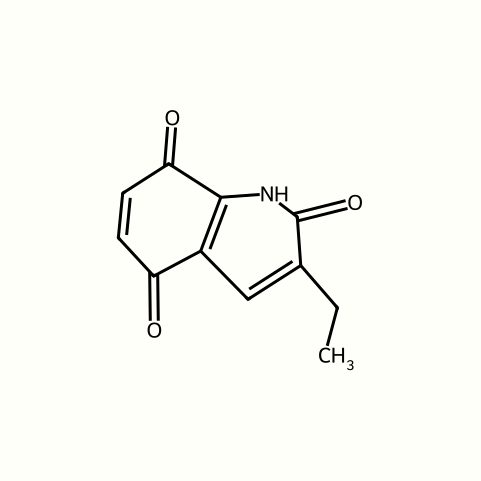 CCc1cc2c([nH]c1=O)C(=O)C=CC2=O